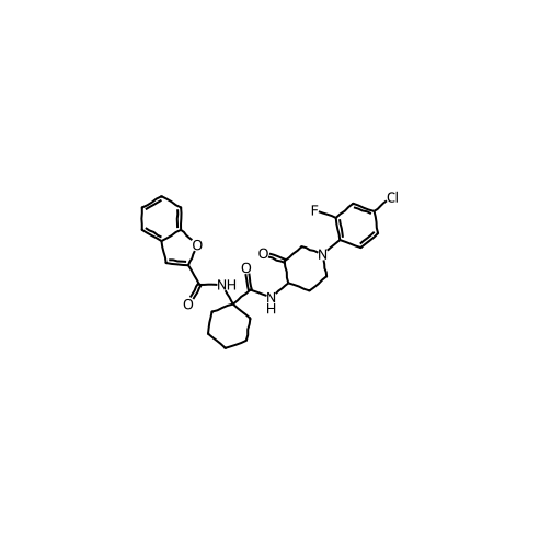 O=C(NC1(C(=O)NC2CCN(c3ccc(Cl)cc3F)CC2=O)CCCCC1)c1cc2ccccc2o1